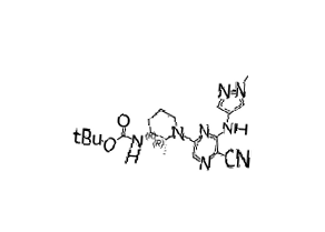 C[C@@H]1[C@H](NC(=O)OC(C)(C)C)CCCN1c1cnc(C#N)c(Nc2cnn(C)c2)n1